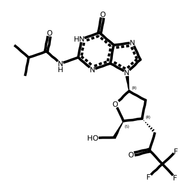 CC(C)C(=O)Nc1nc2c(ncn2[C@H]2C[C@H](CC(=O)C(F)(F)F)[C@@H](CO)O2)c(=O)[nH]1